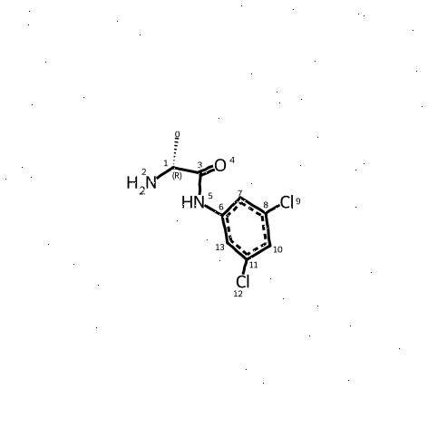 C[C@@H](N)C(=O)Nc1cc(Cl)cc(Cl)c1